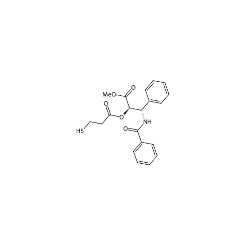 COC(=O)[C@H](OC(=O)CCS)[C@@H](NC(=O)c1ccccc1)c1ccccc1